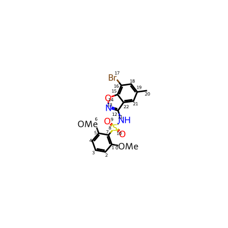 COc1cccc(OC)c1S(=O)(=O)Nc1noc2c(Br)cc(C)cc12